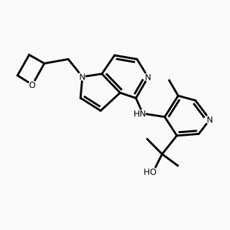 Cc1cncc(C(C)(C)O)c1Nc1nccc2c1ccn2CC1CCO1